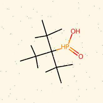 CC(C)(C)C([PH](=O)O)(C(C)(C)C)C(C)(C)C